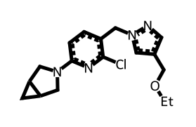 CCOCc1cnn(Cc2ccc(N3CC4CC4C3)nc2Cl)c1